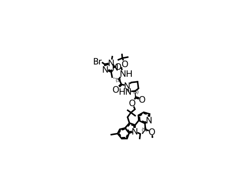 CCn1c(-c2cccnc2[C@H](C)OC)c(CC(C)(C)COC(=O)[C@@H]2CCCN(C(=O)[C@H](Cc3nc(Br)n(C)n3)NC(=O)OC(C)(C)C)N2)c2cc(C)ccc21